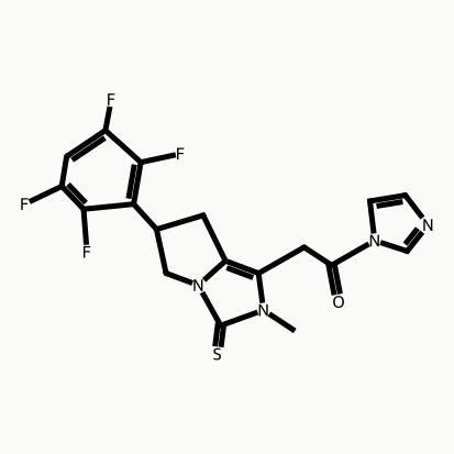 Cn1c(CC(=O)n2ccnc2)c2n(c1=S)CC(c1c(F)c(F)cc(F)c1F)C2